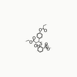 CCOC(=O)C(O)C(Sc1ccccc1[N+](=O)[O-])c1ccc(OC(=O)CC)cc1